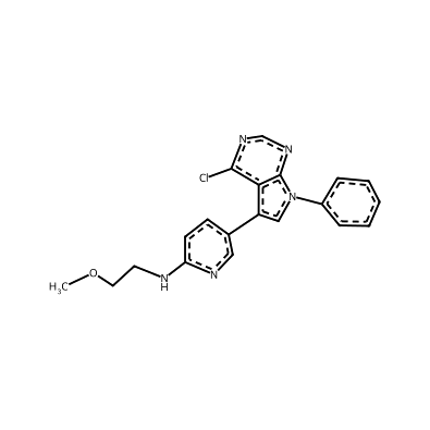 COCCNc1ccc(-c2cn(-c3ccccc3)c3ncnc(Cl)c23)cn1